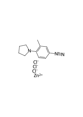 Cc1cc([N+]#N)ccc1N1CCCC1.[Cl-].[Cl-].[Cl-].[Zn+2]